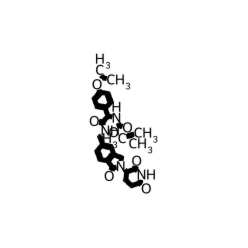 CC(C)Oc1ccc(C(NC(=O)OC(C)(C)C)C(=O)NCc2ccc3c(c2)CN(C2CCC(=O)NC2=O)C3=O)cc1